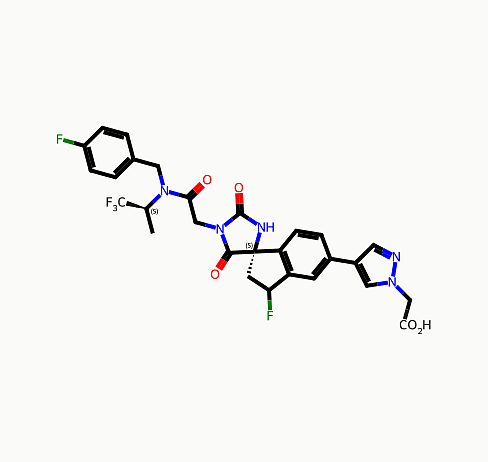 C[C@H](N(Cc1ccc(F)cc1)C(=O)CN1C(=O)N[C@]2(CC(F)c3cc(-c4cnn(CC(=O)O)c4)ccc32)C1=O)C(F)(F)F